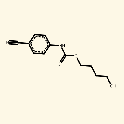 CCCCCOC(=S)Nc1ccc(C#N)cc1